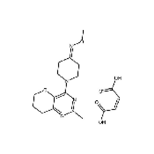 CON=C1CCN(C2=C3OCCCC3=NS(C)=N2)CC1.O=C(O)/C=C\C(=O)O